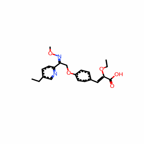 CCO/C(=C\c1ccc(OC/C(=N/OC)c2ccc(CC)cn2)cc1)C(=O)O